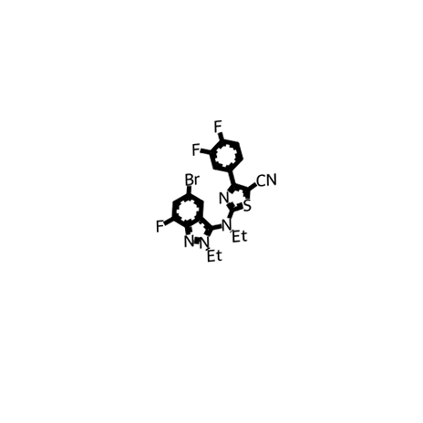 CCN(c1nc(-c2ccc(F)c(F)c2)c(C#N)s1)c1c2cc(Br)cc(F)c2nn1CC